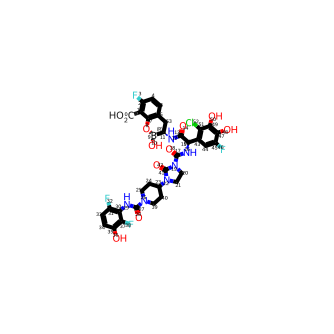 O=C(O)c1c(F)ccc2c1OB(O)[C@@H](NC(=O)[C@H](NC(=O)N1CCN(C3CCN(C(=O)Nc4c(F)ccc(O)c4F)CC3)C1=O)c1cc(F)c(O)c(O)c1Cl)C2